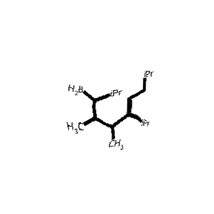 BC(C(C)C)C(C)C(C)C(CCC(C)C)C(C)C